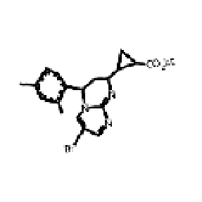 CCOC(=O)C1CC1C1CC(c2ccc(C)cc2C)N2C=C(Br)C=NC2=N1